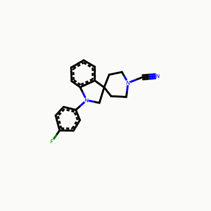 N#CN1CCC2(CC1)CN(c1ccc(F)cc1)c1ccccc12